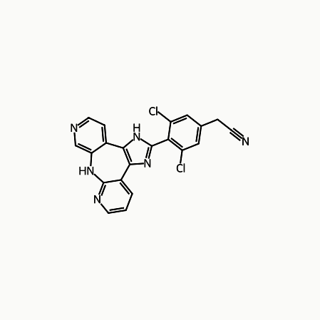 N#CCc1cc(Cl)c(-c2nc3c([nH]2)-c2ccncc2Nc2ncccc2-3)c(Cl)c1